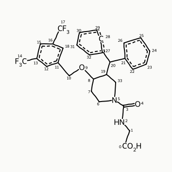 O=C(O)CNC(=O)N1CCC(OCc2cc(C(F)(F)F)cc(C(F)(F)F)c2)C(C(c2ccccc2)c2ccccc2)C1